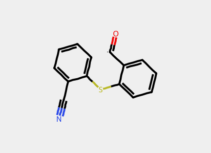 N#Cc1ccccc1Sc1ccccc1[C]=O